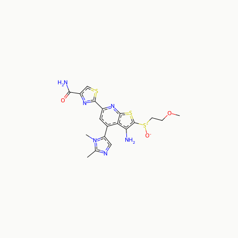 COCC[S+]([O-])c1sc2nc(-c3nc(C(N)=O)cs3)cc(-c3cnc(C)n3C)c2c1N